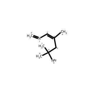 C=N/C=C(/C)CC(C)(C)CCC